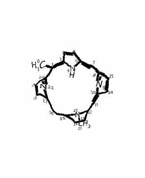 CC1=c2ccc([nH]2)=CC2=NC(=CC3CCC(CC4C=CC1=N4)N3C)C=C2